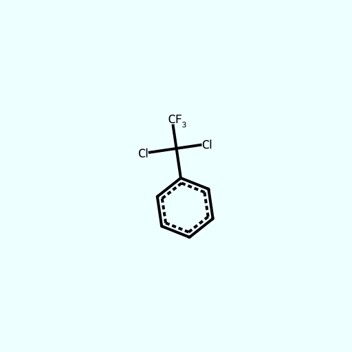 FC(F)(F)C(Cl)(Cl)c1ccccc1